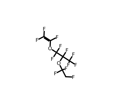 FCC(F)(F)OC(F)(C(F)(F)F)C(F)(F)OC(F)=C(F)F